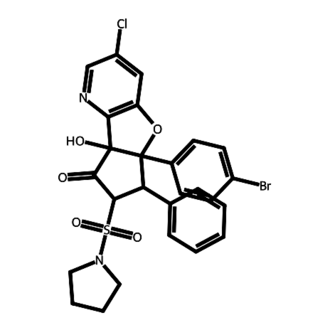 O=C1C(S(=O)(=O)N2CCCC2)C(c2ccccc2)C2(c3ccc(Br)cc3)Oc3cc(Cl)cnc3C12O